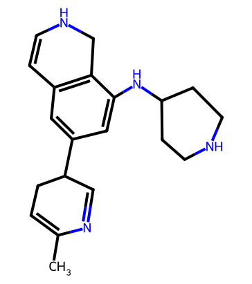 CC1=CCC(c2cc3c(c(NC4CCNCC4)c2)CNC=C3)C=N1